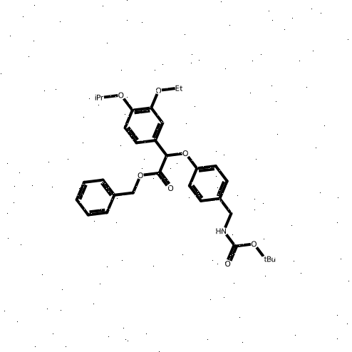 CCOc1cc(C(Oc2ccc(CNC(=O)OC(C)(C)C)cc2)C(=O)OCc2ccccc2)ccc1OC(C)C